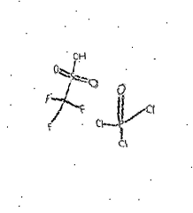 O=P(Cl)(Cl)Cl.O=S(=O)(O)C(F)(F)F